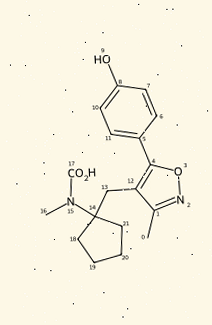 Cc1noc(-c2ccc(O)cc2)c1CC1(N(C)C(=O)O)CCCC1